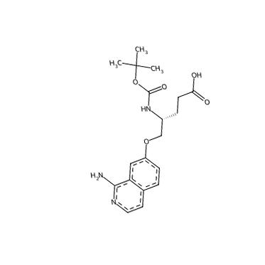 CC(C)(C)OC(=O)N[C@H](CCC(=O)O)COc1ccc2ccnc(N)c2c1